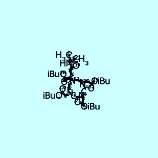 CC(C)COC(=O)CN1CCN(CC(=O)OCC(C)C)CCN([C@H](CCC(=O)NN(C)C)C(=O)OCC(C)C)CCN(CC(=O)OCC(C)C)CC1